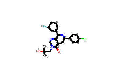 CC(C)(O)Cn1cnc2c(-c3cccc(F)c3)nc(-c3ccc(Cl)cc3)cc2c1=O